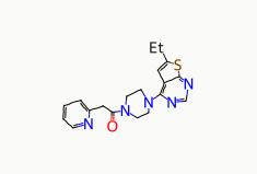 CCc1cc2c(N3CCN(C(=O)Cc4ccccn4)CC3)ncnc2s1